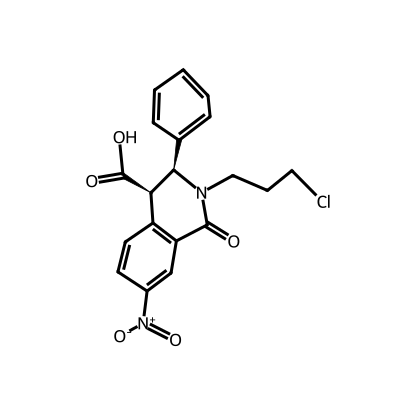 O=C(O)[C@@H]1c2ccc([N+](=O)[O-])cc2C(=O)N(CCCCl)[C@@H]1c1ccccc1